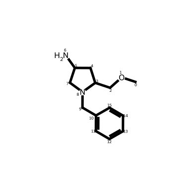 COCC1CC(N)CN1Cc1ccccc1